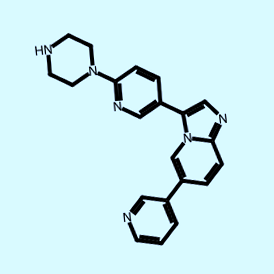 c1cncc(-c2ccc3ncc(-c4ccc(N5CCNCC5)nc4)n3c2)c1